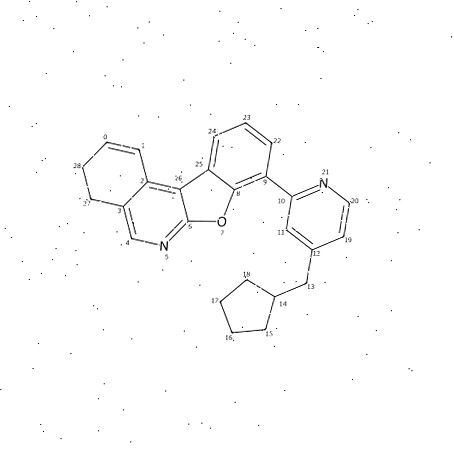 C1=Cc2c(cnc3oc4c(-c5cc(CC6CCCC6)ccn5)cccc4c23)CC1